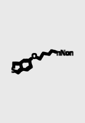 CCCCCCCCCCCCCOc1ccc2cscc2c1